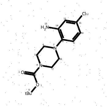 CC(C)(C)OC(=O)N1CCN(c2ccc(Cl)cc2N)CC1